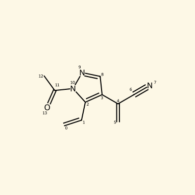 C=Cc1c(C(=C)C#N)cnn1C(C)=O